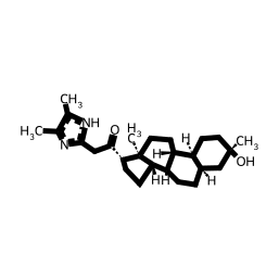 Cc1nc(CC(=O)[C@H]2CC[C@H]3[C@@H]4CC[C@@H]5C[C@](C)(O)CC[C@@H]5[C@H]4CC[C@]23C)[nH]c1C